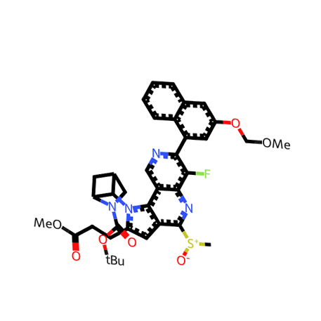 COCOc1cc(-c2ncc3c(nc([S+](C)[O-])c4cc(CCC(=O)OC)n(C5C6CC5N(C(=O)OC(C)(C)C)C6)c43)c2F)c2ccccc2c1